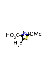 Bc1sc(OC)nc1C(=O)O